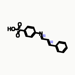 O=S(=O)(O)c1ccc(/N=C/C=C/c2ccccc2)cc1